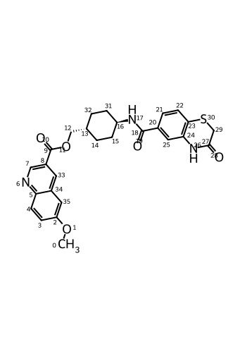 COc1ccc2ncc(C(=O)OC[C@H]3CC[C@H](NC(=O)c4ccc5c(c4)NC(=O)CS5)CC3)cc2c1